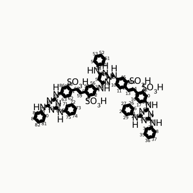 O=S(=O)(O)c1cc(NC2=NN(Nc3ccc(/C=C/c4ccc(Nc5nc(Nc6ccccc6)nc(Nc6ccccc6)n5)cc4S(=O)(=O)O)c(S(=O)(=O)O)c3)NC(Nc3ccccc3)=C2)ccc1/C=C/c1ccc(Nc2nc(Nc3ccccc3)nc(Nc3ccccc3)n2)cc1S(=O)(=O)O